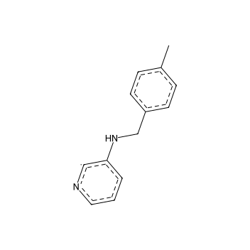 Cc1ccc(CNc2[c]nccc2)cc1